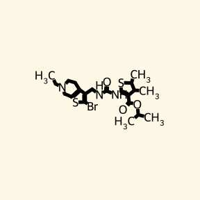 CCN1CCc2c(sc(Br)c2CNC(=O)NC2=C(C(=O)OC(C)C)C(C)C(C)S2)C1